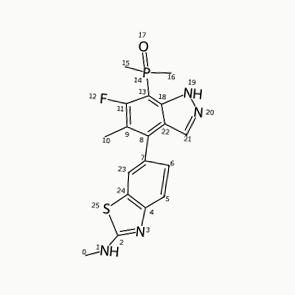 CNc1nc2ccc(-c3c(C)c(F)c(P(C)(C)=O)c4[nH]ncc34)cc2s1